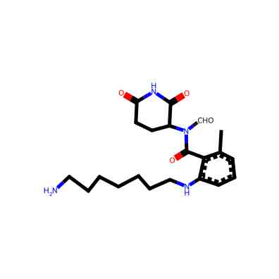 Cc1cccc(NCCCCCCCN)c1C(=O)N(C=O)C1CCC(=O)NC1=O